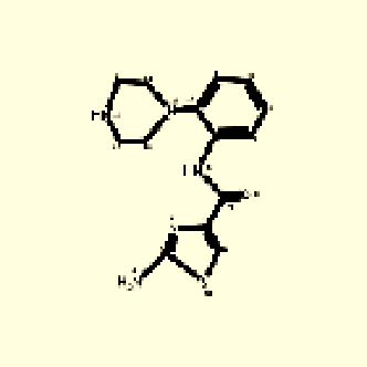 Nc1nc(C(=O)Nc2ccccc2N2CCNCC2)cs1